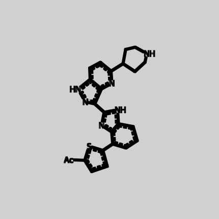 CC(=O)c1ccc(-c2cccc3[nH]c(-c4n[nH]c5ccc(C6CCNCC6)nc45)nc23)s1